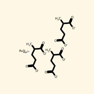 CC(CCC(=O)[O-])C(=O)[O-].CC(CCC(=O)[O-])C(=O)[O-].CC(CCC(=O)[O-])C(=O)[O-].[Au+3].[Au+3]